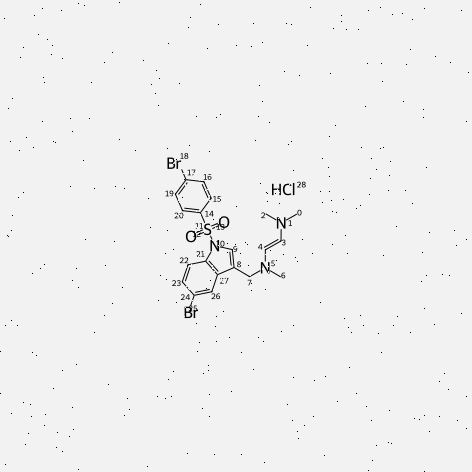 CN(C)/C=C/N(C)Cc1cn(S(=O)(=O)c2ccc(Br)cc2)c2ccc(Br)cc12.Cl